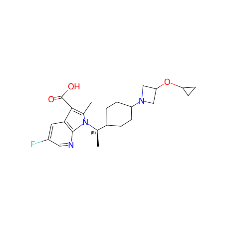 Cc1c(C(=O)O)c2cc(F)cnc2n1[C@H](C)C1CCC(N2CC(OC3CC3)C2)CC1